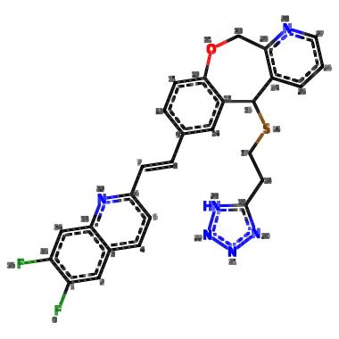 Fc1cc2ccc(C=Cc3ccc4c(c3)C(SCCc3nnn[nH]3)c3cccnc3CO4)nc2cc1F